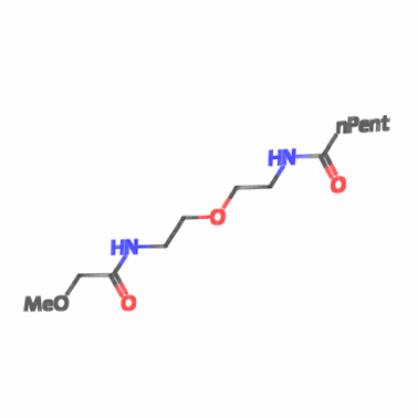 CCCCCC(=O)NCCOCCNC(=O)COC